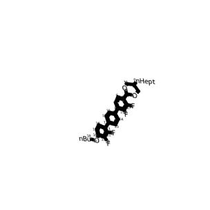 CCCCCCCC1COC(c2ccc(-c3ccc(-c4ccc(OCCCC)c(F)c4F)cc3)c(F)c2F)OC1